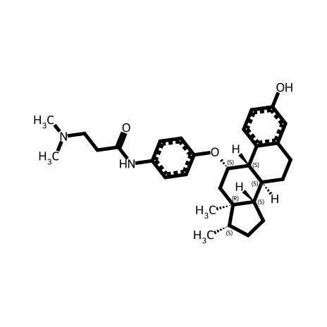 C[C@H]1CC[C@H]2[C@@H]3CCc4cc(O)ccc4[C@H]3[C@@H](Oc3ccc(NC(=O)CCN(C)C)cc3)C[C@]12C